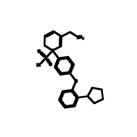 CCS(=O)(=O)[N+]1(c2ccc(Oc3ccccc3C3CCCC3)cc2)C=C(CN)C=CC1